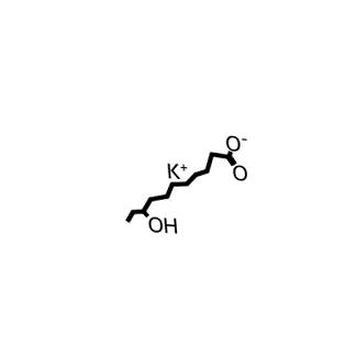 CCC(O)CCCCCCCC(=O)[O-].[K+]